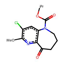 COc1nc2c(cc1Cl)N(C(=O)OC(C)C)CCCC2=O